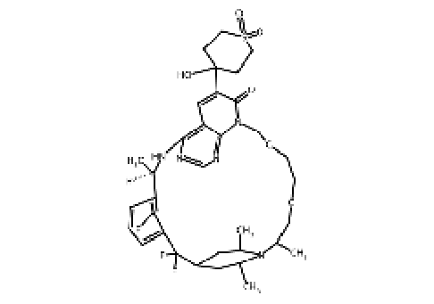 CC1CCCCCCn2c(=O)c(C3(O)CCS(=O)(=O)CC3)cc3c(ncnc32)N[C@H](C)c2cccc(c2F)C(F)(F)C2CC(C)N1C(C)C2